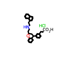 Cl.O=C(O)CCc1cccc(C2CC(CCNCCc3cccc4ccccc34)Oc3ccccc32)c1